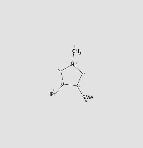 CSC1CN(C)CC1C(C)C